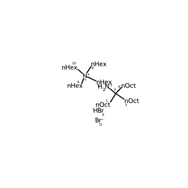 Br.CCCCCCCCC(N)(CCCCCCCC)CCCCCCCC.CCCCCC[N+](CCCCCC)(CCCCCC)CCCCCC.[Br-]